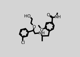 CNC(=O)c1ccc(CC(C)NCC(OCCO)c2cccc(Cl)c2)c(OC)c1